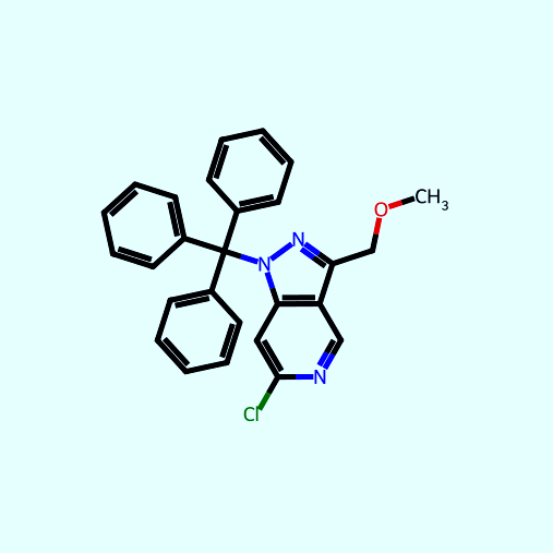 COCc1nn(C(c2ccccc2)(c2ccccc2)c2ccccc2)c2cc(Cl)ncc12